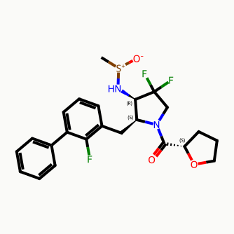 C[S+]([O-])N[C@@H]1[C@H](Cc2cccc(-c3ccccc3)c2F)N(C(=O)[C@@H]2CCCO2)CC1(F)F